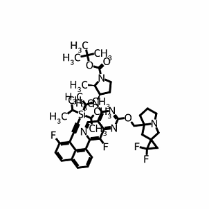 CC(C)[Si](C#Cc1c(F)ccc2cccc(-c3ncc4c(N(C)[C@@H]5CCN(C(=O)OC(C)(C)C)[C@@H]5C)nc(OCC56CCCN5CC5(C6)CC5(F)F)nc4c3F)c12)(C(C)C)C(C)C